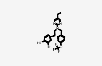 CCc1cnc(N(CCc2ccc(O)c(Br)c2)Cc2ccc(OC(F)(F)F)cc2)nc1